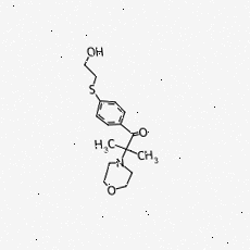 CC(C)(C(=O)c1ccc(SCCO)cc1)N1CCOCC1